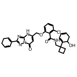 O=C(NCC1(C2=CC=CCC2O)CCC1)c1c(Cl)cccc1OCc1cc(=O)n2nc(C3=CCCC=C3)nc2[nH]1